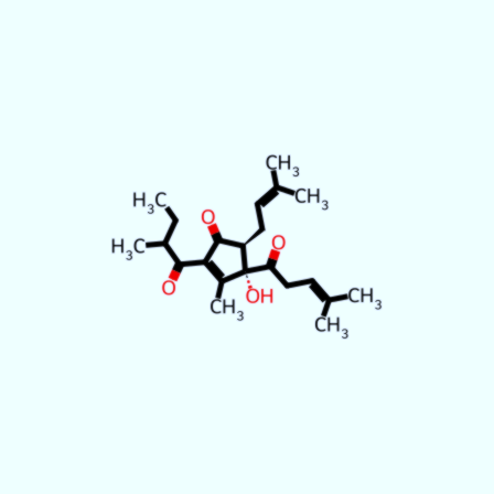 CCC(C)C(=O)C1=C(C)[C@](O)(C(=O)CC=C(C)C)[C@H](CC=C(C)C)C1=O